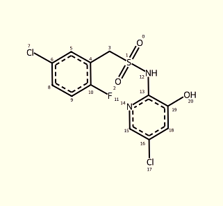 O=S(=O)(Cc1cc(Cl)ccc1F)Nc1ncc(Cl)cc1O